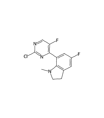 CN1CCc2cc(F)cc(-c3nc(Cl)ncc3F)c21